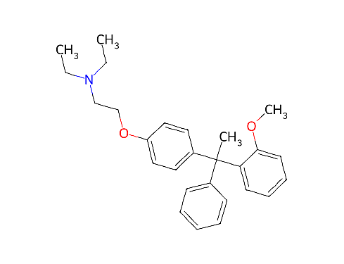 CCN(CC)CCOc1ccc(C(C)(c2ccccc2)c2ccccc2OC)cc1